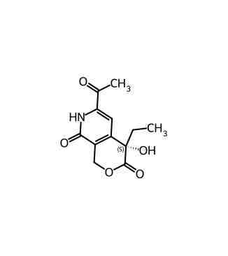 CC[C@@]1(O)C(=O)OCc2c1cc(C(C)=O)[nH]c2=O